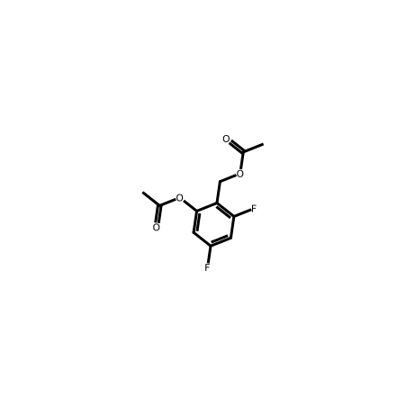 CC(=O)OCc1c(F)cc(F)cc1OC(C)=O